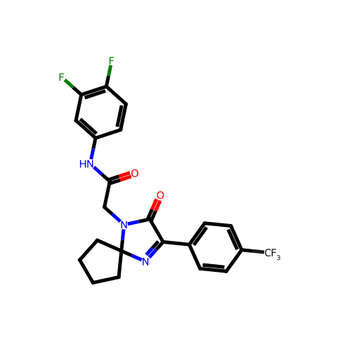 O=C(CN1C(=O)C(c2ccc(C(F)(F)F)cc2)=NC12CCCC2)Nc1ccc(F)c(F)c1